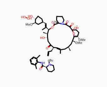 C=CC[C@@H]1/C=C(\C)C[C@H](C)C[C@H](OC)[C@H]2O[C@@](O)(C(=O)C(=O)N3CCCC[C@H]3C(=O)O[C@H](/C(C)=C/[C@@H]3CC[C@@H](O)[C@H](OC)C3)[C@H](C)[C@@H](O)CC1=O)[C@H](C)C[C@@H]2OC.CCCCN1CCCC[C@H]1C(=O)Nc1c(C)cccc1C.OO